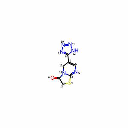 O=C1CSC2=NC=C(c3nnn[nH]3)CN12